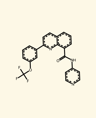 O=C(Nc1ccncc1)c1cccc2ccc(-c3cccc(OC(F)(F)F)c3)nc12